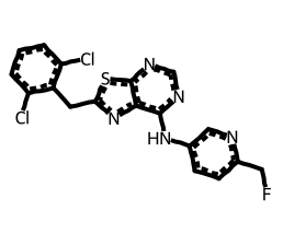 FCc1ccc(Nc2ncnc3sc(Cc4c(Cl)cccc4Cl)nc23)cn1